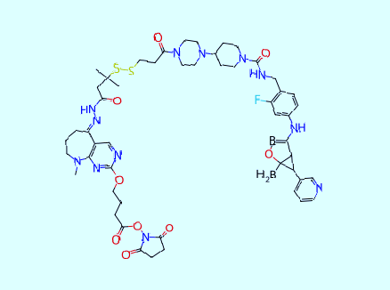 BC12OB=C(Nc3ccc(CNC(=O)N4CCC(N5CCN(C(=O)CCSSC(C)(C)CC(=O)N/N=C6\CCCN(C)c7nc(OCCCC(=O)ON8C(=O)CCC8=O)ncc76)CC5)CC4)c(F)c3)C1C2c1cccnc1